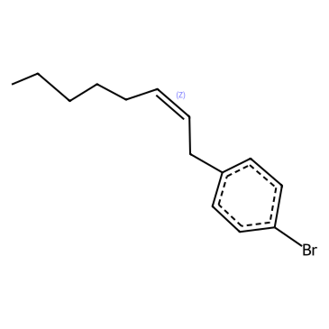 CCCCC/C=C\Cc1ccc(Br)cc1